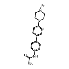 CC(C)N1CCN(c2cnc(-c3ccc(NC(=O)C(C)(C)C)cc3)cn2)CC1